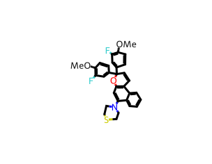 COc1ccc(C2(c3ccc(OC)c(F)c3)C=Cc3c(cc(N4CCSCC4)c4ccccc34)O2)cc1F